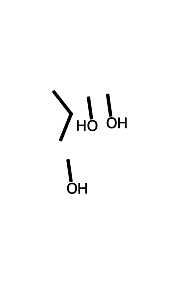 CCC.CO.CO.CO